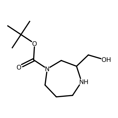 CC(C)(C)OC(=O)N1CCCNC(CO)C1